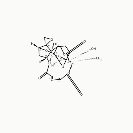 C[C@@H]1CCOC(=O)/C=C/C=C/C(=O)O[C@@H]2C[C@H]3O[C@@H]4[C@@H]5OC5(C)CCC4(COC(=O)[C@H]1O)[C@]2(C)[C@@]31CO1